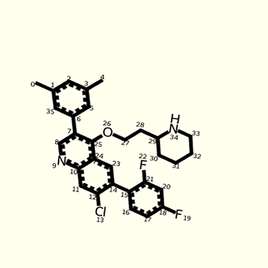 Cc1cc(C)cc(-c2cnc3cc(Cl)c(-c4ccc(F)cc4F)cc3c2OCCC2CCCCN2)c1